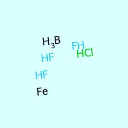 B.Cl.F.F.F.[Fe]